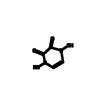 O=c1c(=O)n(O)ccn1O